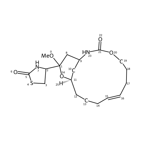 COC1(C2CSC(=O)N2)CC2C[C@@H](CCC/C=C/CCCOC(=O)N2)O1